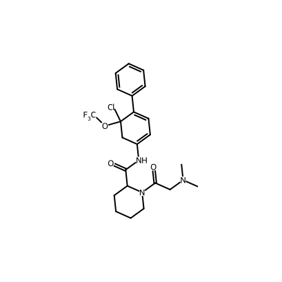 CN(C)CC(=O)N1CCCCC1C(=O)NC1=CC=C(c2ccccc2)C(Cl)(OC(F)(F)F)C1